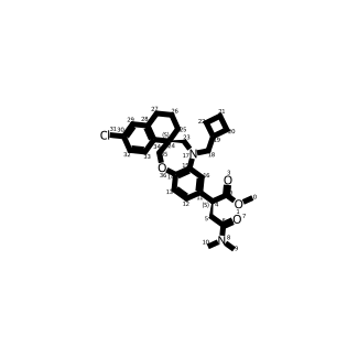 COC(=O)[C@@H](CC(=O)N(C)C)c1ccc2c(c1)N(CC1CCC1)C[C@@]1(CCCc3cc(Cl)ccc31)CO2